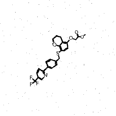 COC(=O)COc1ccc(SCc2ccc(-c3ccc(C(F)(F)F)cn3)cc2)c2c1CCCO2